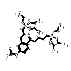 CCO[Si](CCCCC(=O)c1ccc(OC(C)=O)cc1CCC[Si](OCC)(OCC)OCC)(OCC)OCC